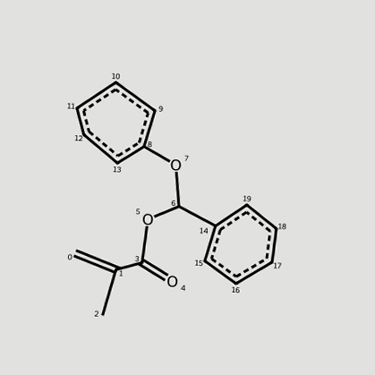 C=C(C)C(=O)OC(Oc1ccccc1)c1ccccc1